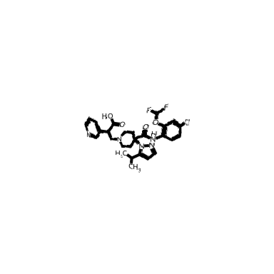 CC(C)c1ccnn1C1(C(=O)Nc2ccc(Cl)cc2OC(F)F)CCN(CC(C(=O)O)c2cccnc2)CC1